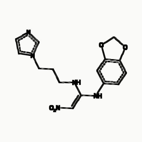 O=[N+]([O-])C=C(NCCCn1ccnc1)Nc1ccc2c(c1)OCO2